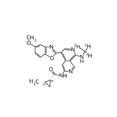 [2H]C([2H])([2H])Nc1ncc(-c2nc3cc(OC)ccc3o2)c2cc(NC(=O)[C@@H]3C[C@@H]3C)ncc12